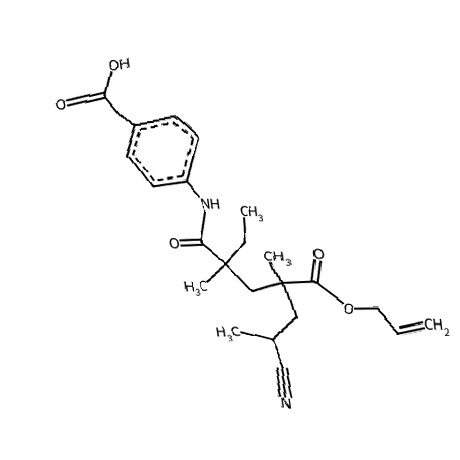 C=CCOC(=O)C(C)(CC(C)C#N)CC(C)(CC)C(=O)Nc1ccc(C(=O)O)cc1